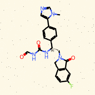 Cn1cncc1-c1ccc([C@H](CN2Cc3ccc(F)cc3C2=O)NC(=O)NC=O)cc1